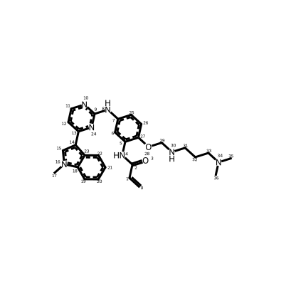 C=CC(=O)Nc1cc(Nc2nccc(-c3cn(C)c4ccccc34)n2)ccc1OCNCCCN(C)C